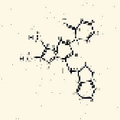 Cc1nc2c(NC3CCc4ccccc43)cc(-n3ccccc3=O)cn2c1C